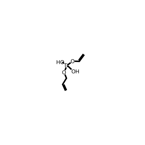 C=CC[O][Ti]([OH])([OH])[O]C=C